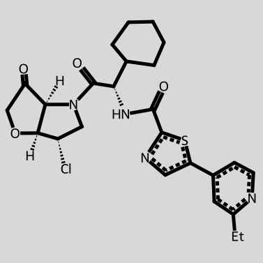 CCc1cc(-c2cnc(C(=O)N[C@H](C(=O)N3C[C@H](Cl)[C@H]4OCC(=O)[C@H]43)C3CCCCC3)s2)ccn1